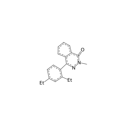 CCc1ccc(-c2nn(C)c(=O)c3ccccc23)c(CC)c1